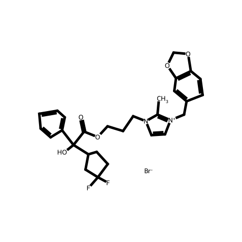 Cc1n(CCCOC(=O)C(O)(c2ccccc2)C2CCC(F)(F)C2)cc[n+]1Cc1ccc2c(c1)OCO2.[Br-]